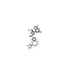 Cc1csc2c(-n3nc(Nc4ccc5c(c4)CC(N4CCCC4)CCCC5)nc3N)nc(Cl)nc12